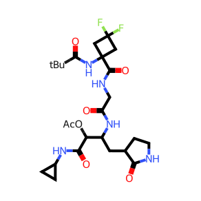 CC(=O)OC(C(=O)NC1CC1)C(CC1CCNC1=O)NC(=O)CNC(=O)C1(NC(=O)C(C)(C)C)CC(F)(F)C1